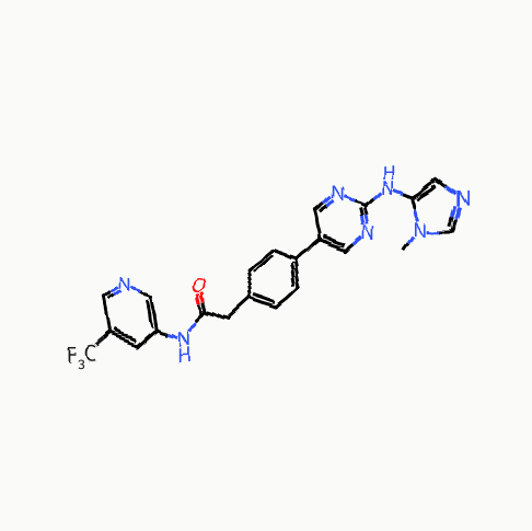 Cn1cncc1Nc1ncc(-c2ccc(CC(=O)Nc3cncc(C(F)(F)F)c3)cc2)cn1